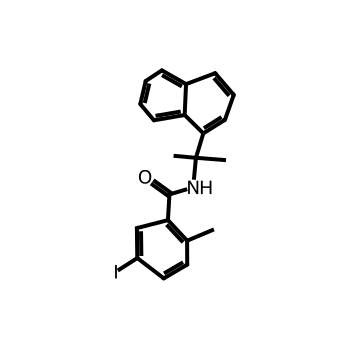 Cc1ccc(I)cc1C(=O)NC(C)(C)c1cccc2ccccc12